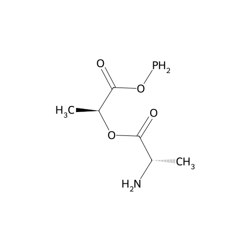 C[C@H](N)C(=O)O[C@@H](C)C(=O)OP